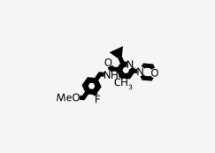 COCc1ccc(CNC(=O)c2c(C)cc(N3CCOCC3)nc2C2CC2)cc1F